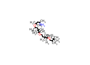 CC(N)CC(C)(C)OC(C)CC(C)(C)C(C)(C)OCCC(C)(C)C(C)(C)OCC(C)C(C)(C)C